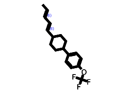 C/C=C/C=C/C1CCC(c2ccc(OC(F)(F)F)cc2)CC1